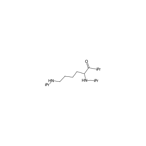 CC(C)NCCCCC(NC(C)C)C(=O)C(C)C